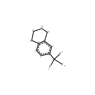 FC(F)(F)c1ccc2c(c1)C[N]CC2